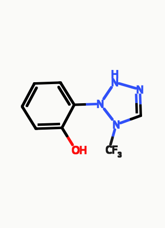 Oc1ccccc1N1NN=CN1C(F)(F)F